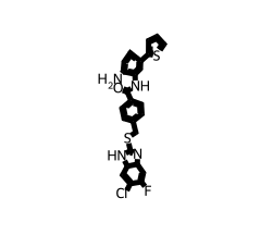 Nc1ccc(-c2cccs2)cc1NC(=O)c1ccc(CSC2=NC3C=C(F)C(Cl)=CC3N2)cc1